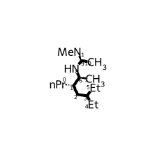 CCC[C@@H](CC(CC)CC)[C@H](C)N[C@H](C)NC